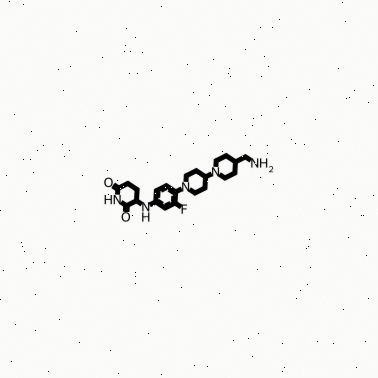 NCC1CCN(C2CCN(c3ccc(NC4CCC(=O)NC4=O)cc3F)CC2)CC1